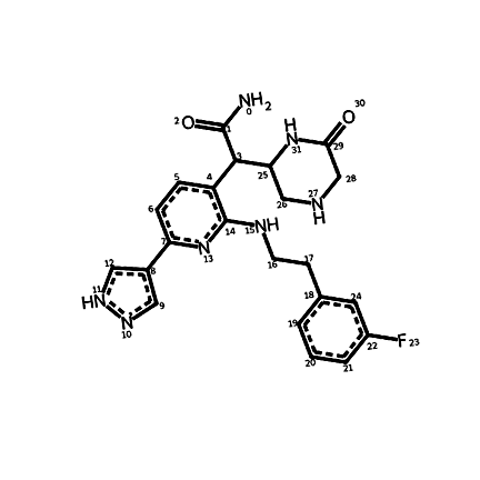 NC(=O)C(c1ccc(-c2cn[nH]c2)nc1NCCc1cccc(F)c1)C1CNCC(=O)N1